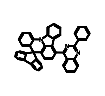 c1ccc(-c2nc(-c3ccc4c5c3c3ccccc3n5-c3ccccc3C43c4ccccc4-c4ccccc43)c3ccccc3n2)cc1